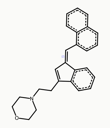 C1=C(CCN2CCOCC2)c2ccccc2/C1=C\c1cccc2ccccc12